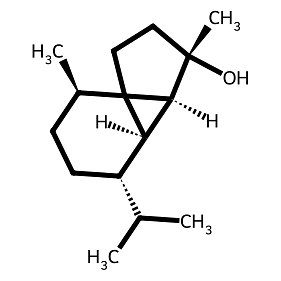 CC(C)[C@@H]1CC[C@@H](C)C23CC[C@](C)(O)[C@H]2[C@@H]13